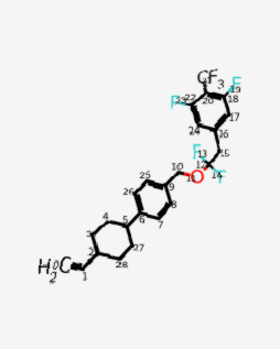 C=CC1CCC(c2ccc(COC(F)(F)Cc3cc(F)c(C(F)(F)F)c(F)c3)cc2)CC1